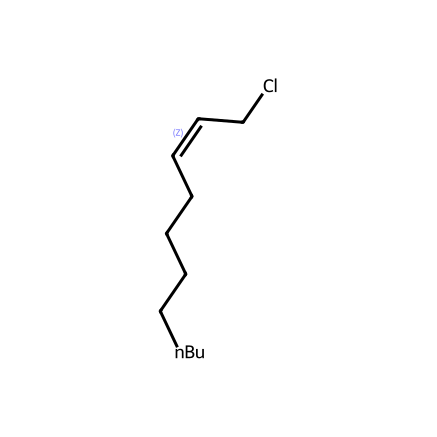 CCCCCCCC/C=C\CCl